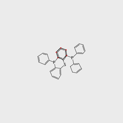 C1=CCCC(P(c2ccccc2)c2ccccc2Sc2ccccc2P(c2ccccc2)c2ccccc2)=C1